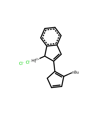 CCCCC1=C(C2=Cc3ccccc3[CH]2[Hf+2])CC=C1.[Cl-].[Cl-]